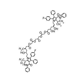 C=C(CC(=O)OCC(=O)OCC(=O)COC(=O)COC(=O)C[C@H](O)C/C(O)=C\Cn1c(-c2ccc(F)cc2)c(-c2ccccc2)c(C(=O)Nc2ccccc2)c1C(C)C)C[C@H](O)CCn1c(-c2ccc(F)cc2)c(-c2ccccc2)c(C(=O)Nc2ccccc2)c1C(C)C